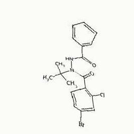 CC(C)(C)N(NC(=O)c1ccccc1)C(=O)c1ccc(Br)cc1Cl